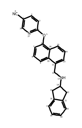 N#Cc1ccc(Oc2cccc3c(CNC4Cc5ccccc5C4)cccc23)nc1